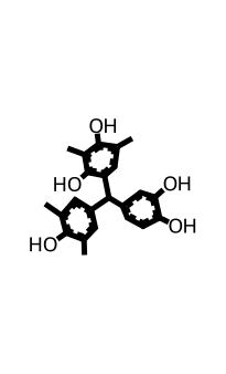 Cc1cc(C(c2ccc(O)c(O)c2)c2cc(C)c(O)c(C)c2O)cc(C)c1O